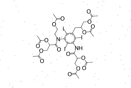 CC(=O)OCCN(C(=O)C(COC(C)=O)OC(C)=O)c1c(I)c(CC(COC(C)=O)OC(C)=O)c(I)c(NC(=O)C(COC(C)=O)OC(C)=O)c1I